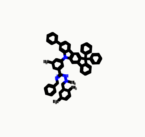 CC1C=C(n2c3cc(-c4ccccc4)ccc3c3cc4c(cc32)-c2ccccc2C4(c2ccccc2)c2ccccc2)C=C(/C(=N/Cc2ccccc2)NN(C)CC2CC(C)C=CC2C)C1